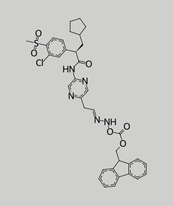 CS(=O)(=O)c1ccc([C@@H](CC2CCCC2)C(=O)Nc2cnc(CC=NNOC(=O)OCC3c4ccccc4-c4ccccc43)cn2)cc1Cl